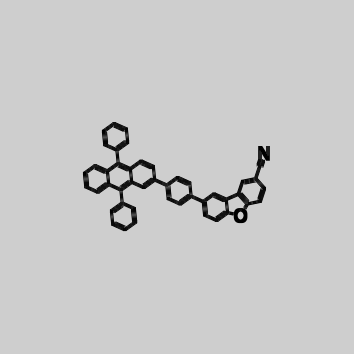 N#Cc1ccc2oc3ccc(-c4ccc(-c5ccc6c(-c7ccccc7)c7ccccc7c(-c7ccccc7)c6c5)cc4)cc3c2c1